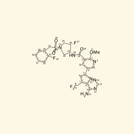 COc1ncc(-c2cc(C(F)(F)F)c3c(N)ncnn23)cc1C(=O)N[C@@H]1CN(S(=O)(=O)Cc2ccccc2F)C[C@@H]1F